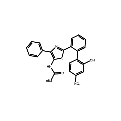 CCCCC(=O)Nc1oc(-c2ccccc2-c2ccc([N+](=O)[O-])cc2O)nc1-c1ccccc1